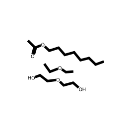 CCCCCCCCOC(C)=O.CCOCC.OCCOCCO